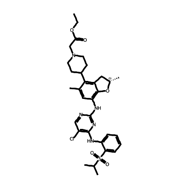 CCOC(=O)CN1CCC(c2c(C)cc(Nc3ncc(Cl)c(Nc4ccccc4S(=O)(=O)C(C)C)n3)c3c2C[C@H](C)O3)CC1